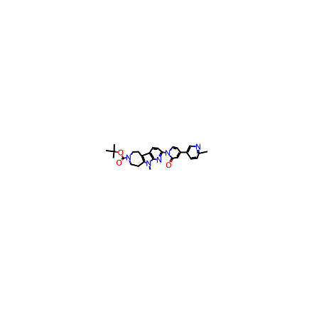 Cc1ccc(-c2ccn(-c3ccc4c5c(n(C)c4n3)CCN(C(=O)OC(C)(C)C)CC5)c(=O)c2)cn1